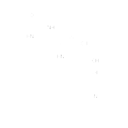 CC(C)C(NC(=O)c1c[nH]c(=O)[nH]1)c1ccc2cccnc2c1O